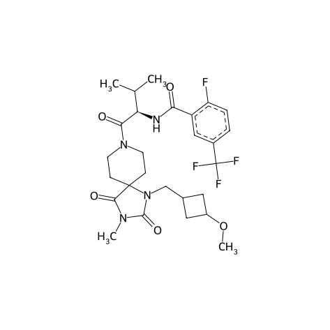 COC1CC(CN2C(=O)N(C)C(=O)C23CCN(C(=O)[C@H](NC(=O)c2cc(C(F)(F)F)ccc2F)C(C)C)CC3)C1